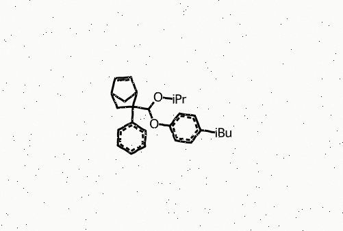 CCC(C)c1ccc(OC(OC(C)C)C2(c3ccccc3)CC3C=CC2C3)cc1